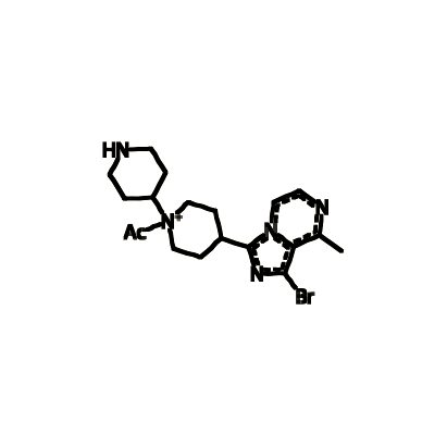 CC(=O)[N+]1(C2CCNCC2)CCC(c2nc(Br)c3c(C)nccn23)CC1